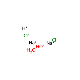 O.[Cl-].[Cl-].[H+].[Na+].[Na+].[OH-]